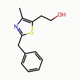 Cc1nc(Cc2ccccc2)sc1CCO